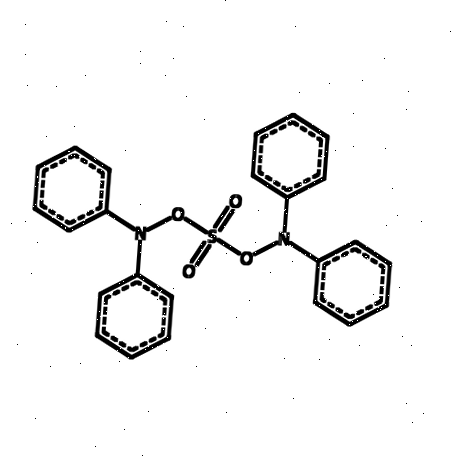 O=S(=O)(ON(c1ccccc1)c1ccccc1)ON(c1ccccc1)c1ccccc1